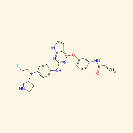 C=CC(=O)Nc1cccc(Oc2nc(Nc3ccc(N(CCF)C4CCNC4)cc3)nc3[nH]ccc23)c1